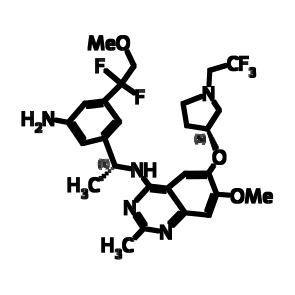 COCC(F)(F)c1cc(N)cc([C@@H](C)Nc2nc(C)nc3cc(OC)c(O[C@H]4CCN(CC(F)(F)F)C4)cc23)c1